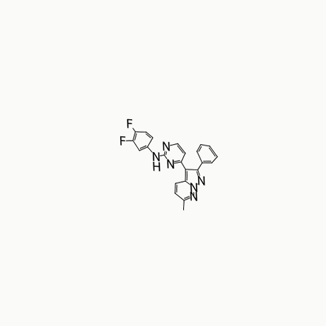 Cc1ccc2c(-c3ccnc(Nc4ccc(F)c(F)c4)n3)c(-c3ccccc3)nn2n1